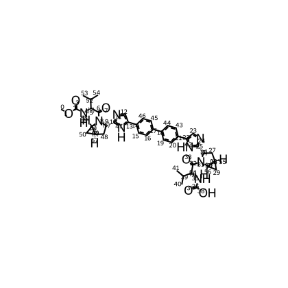 COC(=O)N[C@H](C(=O)N1[C@H](c2ncc(-c3ccc(-c4ccc(-c5cnc([C@@H]6C[C@@H]7C[C@@H]7N6C(=O)[C@@H](NC(=O)O)C(C)C)[nH]5)cc4)cc3)[nH]2)C[C@H]2C[C@@H]21)C(C)C